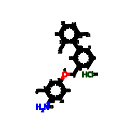 Cc1cc(OCc2cccc(-c3c(C)cccc3C)c2)ccc1N.Cl